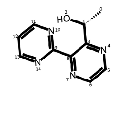 C[C@@H](O)c1nccnc1-c1ncccn1